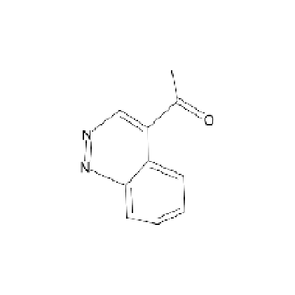 CC(=O)c1cnnc2ccccc12